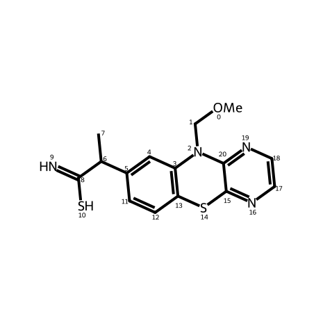 COCN1c2cc(C(C)C(=N)S)ccc2Sc2nccnc21